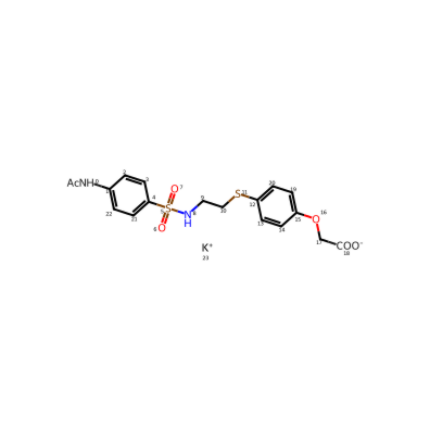 CC(=O)Nc1ccc(S(=O)(=O)NCCSc2ccc(OCC(=O)[O-])cc2)cc1.[K+]